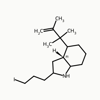 C=C(C)C(C)(C)C1CCCC2NC(CCCI)C[C@@H]21